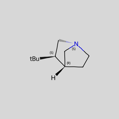 CC(C)(C)[C@H]1C[N@]2CC[C@H]1C2